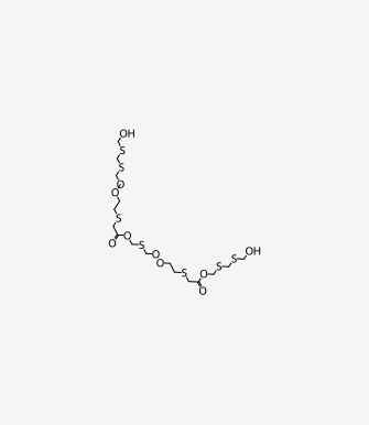 O=C(CSCCOOCSCSCO)OCSCOOCCSCC(=O)OCSCSCO